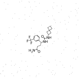 NC(=O)CCC(NC(=O)NC1CC2(CCC2)C1)c1cccc(C(F)(F)F)c1